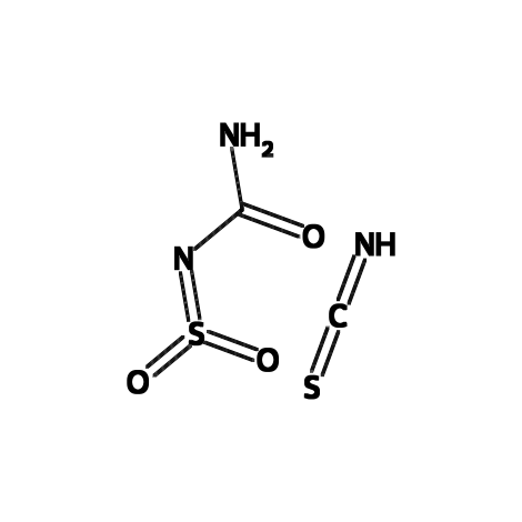 N=C=S.NC(=O)N=S(=O)=O